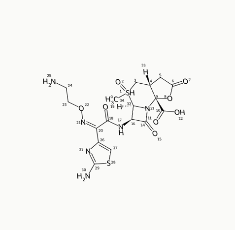 C[SH]1(=O)C[C@@H]2CC(=O)O[C@]2(C(=O)O)N2C(=O)[C@@H](NC(=O)/C(=N\OCCN)c3csc(N)n3)[C@H]21